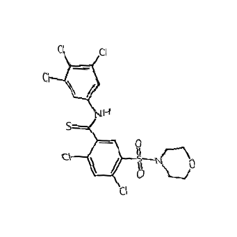 O=S(=O)(c1cc(C(=S)Nc2cc(Cl)c(Cl)c(Cl)c2)c(Cl)cc1Cl)N1CCOCC1